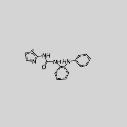 O=C(Nc1nccs1)Nc1ccccc1Nc1ccccc1